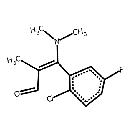 C/C(C=O)=C(/c1cc(F)ccc1Cl)N(C)C